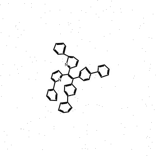 c1ccc(-c2ccc(C(=C(c3cccc(-c4ccccc4)n3)c3cccc(-c4ccccc4)n3)c3ccc(-c4ccccc4)cc3)cc2)cc1